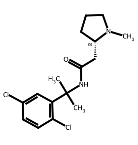 CN1CCC[C@H]1CC(=O)NC(C)(C)c1cc(Cl)ccc1Cl